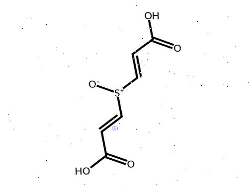 O=C(O)C=C[S+]([O-])/C=C/C(=O)O